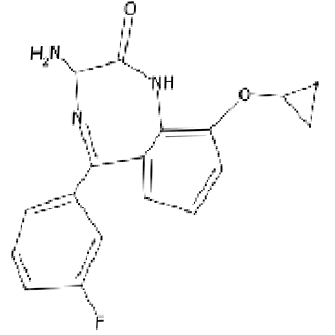 NC1N=C(c2cccc(F)c2)c2cccc(OC3CC3)c2NC1=O